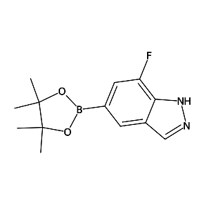 CC1(C)OB(c2cc(F)c3[nH]ncc3c2)OC1(C)C